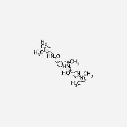 Cc1ccc(CNC(=O)Cc2cccc(C[C@@H](C)NC[C@@H](O)c3ccc(-n4c(C)ccc4C)nc3)c2)cc1C